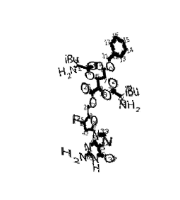 CC[C@H](C)[C@H](N)C(=O)OC(CC(=O)OCc1ccccc1)C(OC(=O)[C@@H](N)[C@@H](C)CC)C(=O)OC[C@H]1O[C@@H](n2cnc3c(=O)[nH]c(N)nc32)CC1F